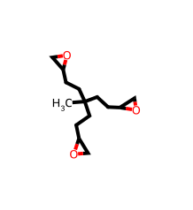 CC(CCC1CO1)(CCC1CO1)CCC1CO1